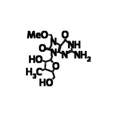 COCn1c(=O)n(C2OC(CO)C(C)C2O)c2nc(N)[nH]c(=O)c21